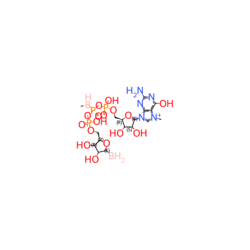 B[C@@H]1O[C@H](COP(=O)(O)OP(=O)(BC)OP(=O)(O)OC[C@H]2O[C@@H](n3c[n+](C)c4c(O)nc(N)nc43)[C@@H](O)C2O)[C@H](O)C1O